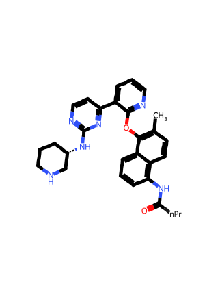 CCCC(=O)Nc1cccc2c(Oc3ncccc3-c3ccnc(N[C@H]4CCCNC4)n3)c(C)ccc12